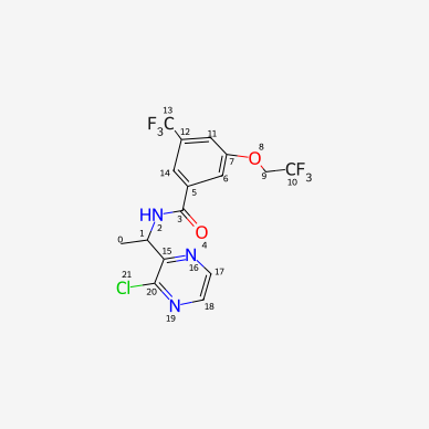 CC(NC(=O)c1cc(OCC(F)(F)F)cc(C(F)(F)F)c1)c1nccnc1Cl